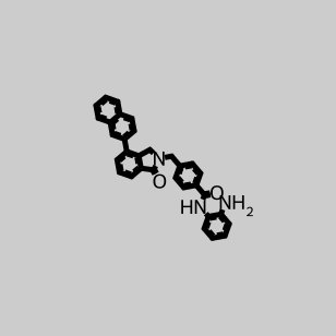 Nc1ccccc1NC(=O)c1ccc(CN2Cc3c(cccc3-c3ccc4ccccc4c3)C2=O)cc1